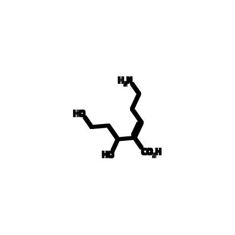 NCCC=C(C(=O)O)C(O)CCO